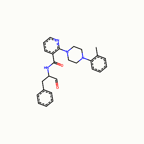 Cc1ccccc1N1CCN(c2ncccc2C(=O)NC(C=O)Cc2ccccc2)CC1